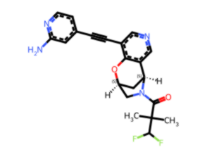 CC(C)(C(=O)N1C[C@@H]2C[C@H]1c1cncc(C#Cc3ccnc(N)c3)c1O2)C(F)F